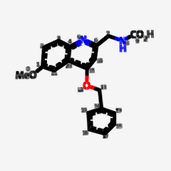 COc1ccc2nc(CNC(=O)O)cc(OCc3ccccc3)c2c1